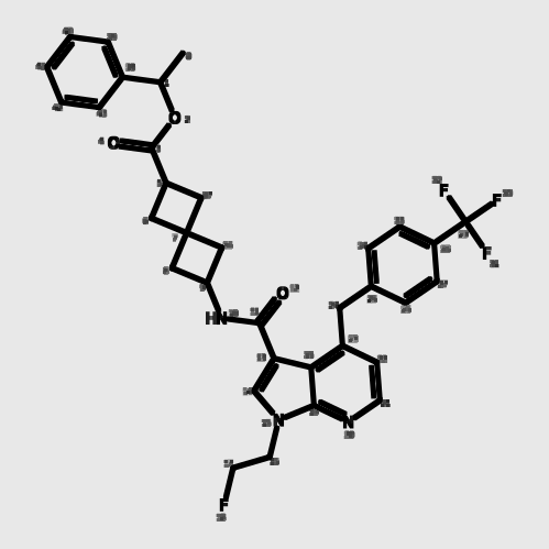 CC(OC(=O)C1CC2(CC(NC(=O)c3cn(CCF)c4nccc(Cc5ccc(C(F)(F)F)cc5)c34)C2)C1)c1ccccc1